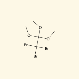 COC(OC)(OC)C(Br)(Br)Br